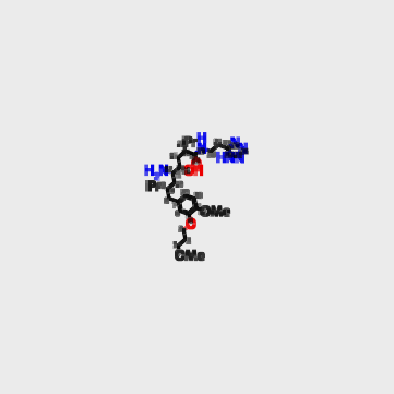 COCCCOc1cc(C[C@@H](C[C@H](N)[C@@H](O)C[C@H](C(=O)NCCc2nnn[nH]2)C(C)C)C(C)C)ccc1OC